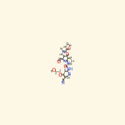 COCCOc1cc(NC(=O)N2CCCc3cc(CN(C)C(=O)C4CCCO4)c(C=O)nc32)ncc1C#N